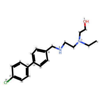 CCN(CCO)CCNCc1ccc(-c2ccc(Cl)cc2)cc1